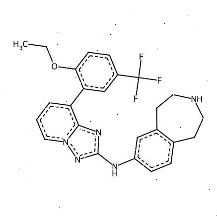 CCOc1ccc(C(F)(F)F)cc1-c1cccn2nc(Nc3ccc4c(c3)CCNCC4)nc12